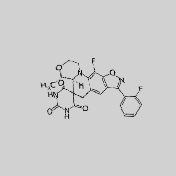 C[C@@H]1OCCN2c3c(cc4c(-c5ccccc5F)noc4c3F)CC3(C(=O)NC(=O)NC3=O)[C@@H]12